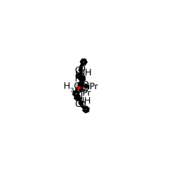 CC(C)C(=O)O[C@H]1[C@H](n2ccc3c(NC(=O)OCc4ccccc4)ncnc32)C[C@](C)(CCc2ccc3ccc(NC(=O)OCc4ccccc4)nc3c2)[C@H]1OC(=O)C(C)C